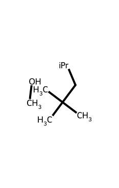 CC(C)CC(C)(C)C.CO